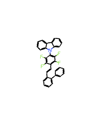 Fc1c(F)c(-n2c3ccccc3c3ccccc32)c(F)c(F)c1C=Cc1ccccc1-c1ccccc1